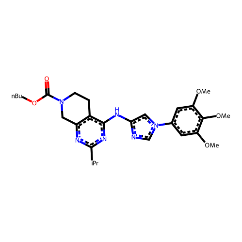 CCCCOC(=O)N1CCc2c(nc(C(C)C)nc2Nc2cn(-c3cc(OC)c(OC)c(OC)c3)cn2)C1